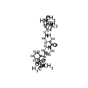 C=C(/C=C(\C=C/N)CN1CCC(C(=O)N2CCN(Cc3ccccc3S(=O)(=O)N(C)C)CC2)CC1)NC